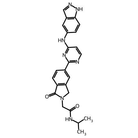 CC(C)NC(=O)CN1Cc2cc(-c3nccc(Nc4ccc5[nH]ncc5c4)n3)ccc2C1=O